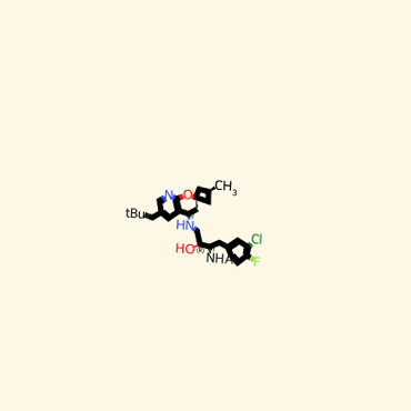 CC(=O)N[C@@H](Cc1ccc(F)c(Cl)c1)[C@H](O)CN[C@H]1C[C@]2(C[C@H](C)C2)Oc2ncc(CC(C)(C)C)cc21